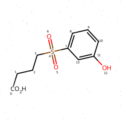 O=C(O)CCCS(=O)(=O)c1cccc(O)c1